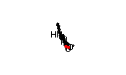 CCCCCCCNc1ccc(/N=N/c2ccc([N+](=O)[O-])cc2)cc1